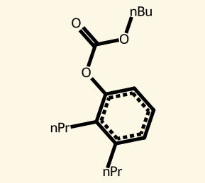 CCCCOC(=O)Oc1cccc(CCC)c1CCC